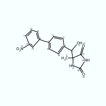 CC1(C(O)c2ccc(-c3cccc([N+](=O)[O-])c3)cc2)NC(=O)NC1=O